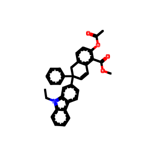 CCn1c2ccccc2c2ccc(C3(c4ccccc4)C=Cc4c(ccc(OC(C)=O)c4C(=O)OC)C3)cc21